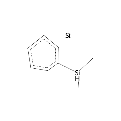 C[SiH](C)c1ccccc1.[Si]